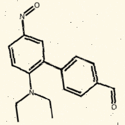 CCN(CC)c1ccc(N=O)cc1-c1ccc(C=O)cc1